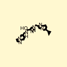 OC(NCc1ccc2nccn2c1)c1cn(Cc2cn3cc(C4CC4)ccc3n2)nn1